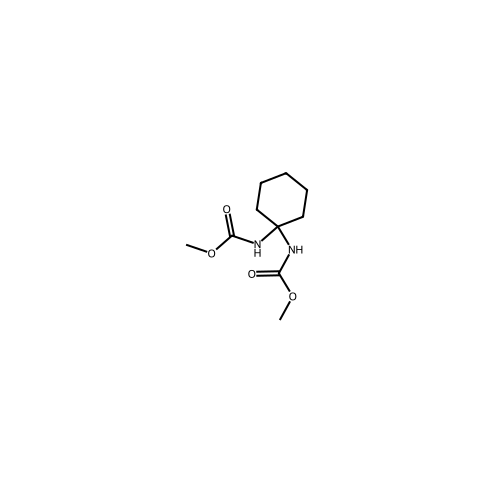 COC(=O)NC1(NC(=O)OC)CCCCC1